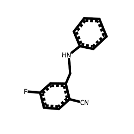 N#Cc1ccc(F)cc1CNc1ccccc1